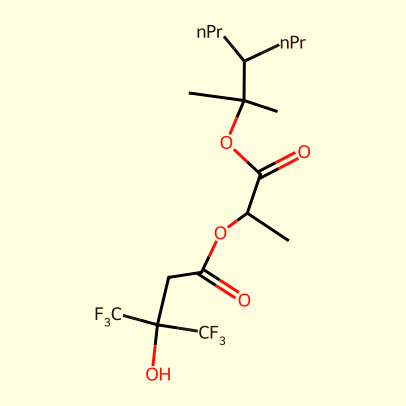 CCCC(CCC)C(C)(C)OC(=O)C(C)OC(=O)CC(O)(C(F)(F)F)C(F)(F)F